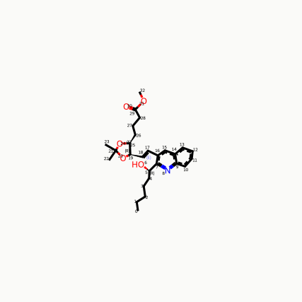 CCCCC[C@@H](O)c1nc2ccccc2cc1/C=C/[C@H]1OC(C)(C)O[C@H]1CCCC(=O)OC